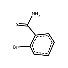 NC(=S)c1ccccc1Br